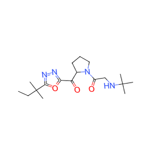 CCC(C)(C)c1nnc(C(=O)C2CCCN2C(=O)CNC(C)(C)C)o1